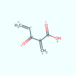 C=CC(=O)C(=C)C(=O)O